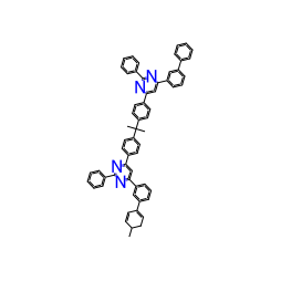 CC1C=CC(c2cccc(-c3cc(-c4ccc(C(C)(C)c5ccc(-c6cc(-c7cccc(-c8ccccc8)c7)nc(-c7ccccc7)n6)cc5)cc4)nc(-c4ccccc4)n3)c2)=CC1